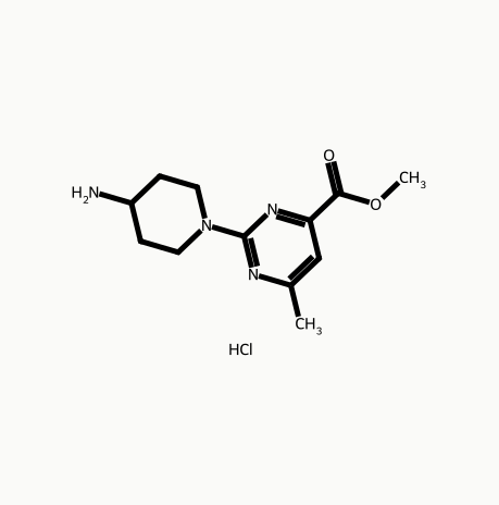 COC(=O)c1cc(C)nc(N2CCC(N)CC2)n1.Cl